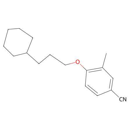 Cc1cc(C#N)ccc1OCCCC1CCCCC1